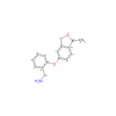 CB1OCc2cc(Oc3ccccc3CN)ccc21